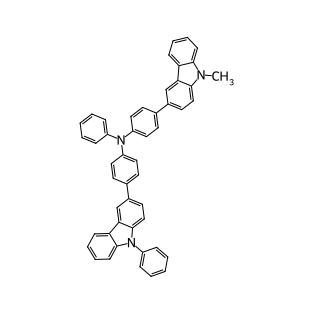 Cn1c2ccccc2c2cc(-c3ccc(N(c4ccccc4)c4ccc(-c5ccc6c(c5)c5ccccc5n6-c5ccccc5)cc4)cc3)ccc21